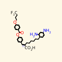 Nc1ccc(CCCCCC/C(=C\c2ccc(OC(=O)c3ccc(OCCCC(F)(F)F)cc3)cc2)C(=O)O)c(N)c1